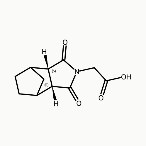 O=C(O)CN1C(=O)[C@@H]2C3CCC(C3)[C@@H]2C1=O